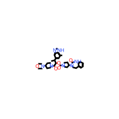 Cc1cc(C(C)C(OC(=O)N2CCC(N3CCc4ccccc4NC3=O)CC2)C(=O)N2CCC(N3CCOCC3)CC2)cc2nc[nH]c12